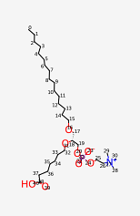 CCCCCCCCCCCCCCCCOC[C@H](COP(=O)([O-])OCC[N+](C)(C)C)OCCCCCCC(=O)O